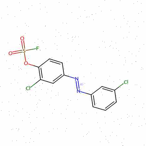 O=S(=O)(F)Oc1ccc(/N=N/c2cccc(Cl)c2)cc1Cl